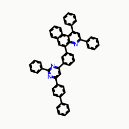 c1ccc(-c2ccc(-c3cc(-c4cccc(-c5cc6ccccc6c6c(-c7ccccc7)cc(-c7ccccc7)nc56)c4)nc(-c4ccccc4)n3)cc2)cc1